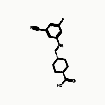 N#Cc1cc(F)cc(NC[C@H]2CC[C@H](C(=O)O)CC2)c1